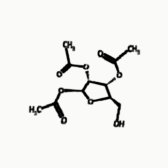 CC(=O)O[C@@H]1O[C@H](CO)[C@@H](OC(C)=O)[C@H]1OC(C)=O